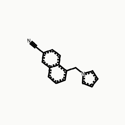 N#Cc1ccc2c(Cn3cccc3)cccc2c1